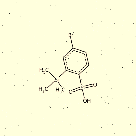 C[Si](C)(C)c1cc(Br)ccc1S(=O)(=O)O